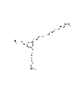 CCCCCCCCCCCCCc1[c]c(CCCCCCC)cc(CCC)c1